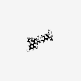 Nc1nc(N)c([N+](=O)[O-])cc1CCNc1ncc(-c2ncc[nH]2)c(-c2ccc(Cl)cc2Cl)n1